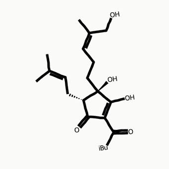 CCC(C)C(=O)C1=C(O)[C@@](O)(CCC=C(C)CO)[C@@H](CC=C(C)C)C1=O